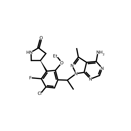 CCOc1c(C(C)n2nc(C)c3c(N)ncnc32)cc(Cl)c(F)c1[C@H]1CNC(=O)C1